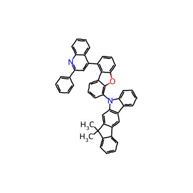 CC1(C)c2ccccc2-c2cc3c4ccccc4n(-c4cccc5c4oc4cccc(-c6cc(-c7ccccc7)nc7ccccc67)c45)c3cc21